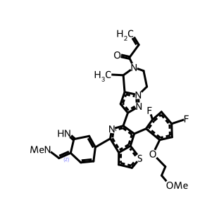 C=CC(=O)N1CCn2nc(-c3nc(C4=CC(=N)/C(=C\NC)C=C4)c4ccsc4c3-c3c(F)cc(F)cc3OCCOC)cc2C1C